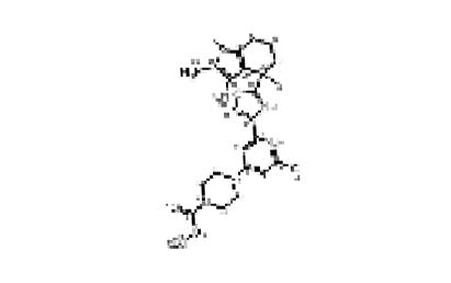 CC(C)(C)OC(=O)N1CCN(c2cc(Cl)nc(-c3noc(C4(C)CCCc5sc(N)c(C#N)c54)n3)c2)CC1